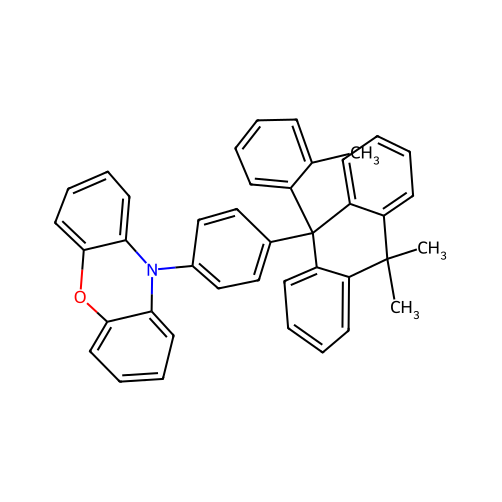 Cc1ccccc1C1(c2ccc(N3c4ccccc4Oc4ccccc43)cc2)c2ccccc2C(C)(C)c2ccccc21